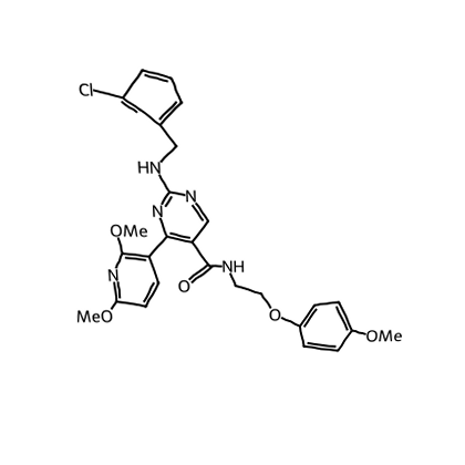 COc1ccc(OCCNC(=O)c2cnc(NCc3cccc(Cl)c3)nc2-c2ccc(OC)nc2OC)cc1